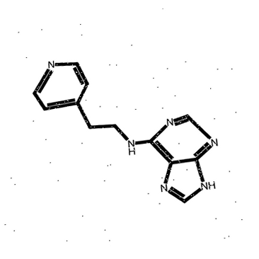 c1cc(CCNc2ncnc3[nH]cnc23)ccn1